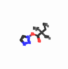 CCC(C)(C)C(=O)On1ccnn1